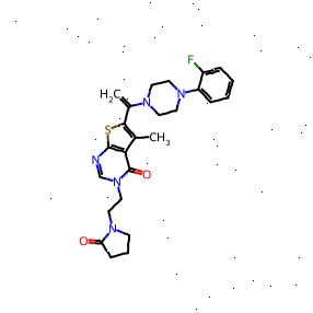 C=C(c1sc2ncn(CCN3CCCC3=O)c(=O)c2c1C)N1CCN(c2ccccc2F)CC1